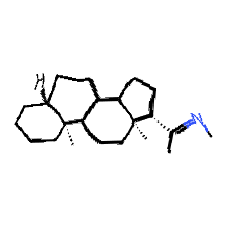 C/N=C(\C)[C@H]1CCC2C3CC[C@H]4CCCC[C@]4(C)C3CC[C@@]21C